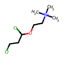 C[N+](C)(C)CCOC(Cl)CCCl